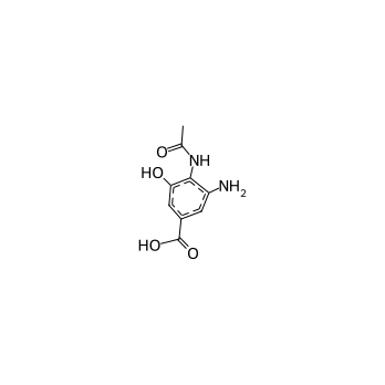 CC(=O)Nc1c(N)cc(C(=O)O)cc1O